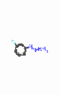 NN=Nc1cccc(F)c1